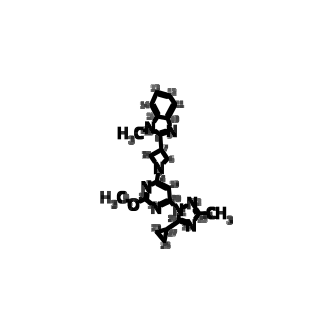 COc1nc(N2CC(c3nc4ccccc4n3C)C2)cc(-n2nc(C)nc2C2CC2)n1